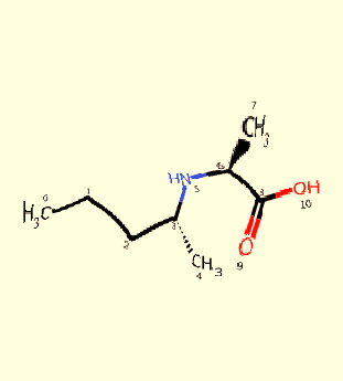 CCC[C@@H](C)N[C@@H](C)C(=O)O